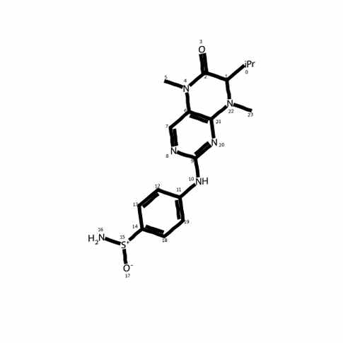 CC(C)C1C(=O)N(C)c2cnc(Nc3ccc([S+](N)[O-])cc3)nc2N1C